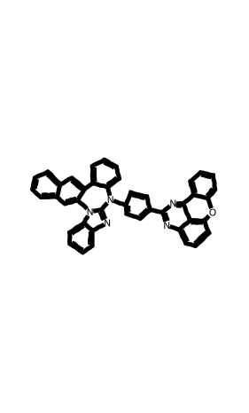 c1ccc2c(c1)Oc1cccc3nc(-c4ccc(N5c6ccccc6-c6cc7ccccc7cc6-n6c5nc5ccccc56)cc4)nc-2c13